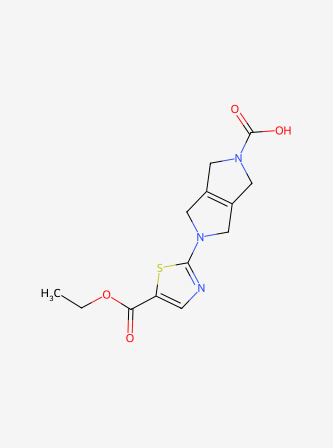 CCOC(=O)c1cnc(N2CC3=C(CN(C(=O)O)C3)C2)s1